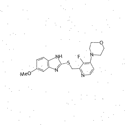 COc1ccc2[nH]c(SCc3nccc(N4CCOCC4)c3F)nc2c1